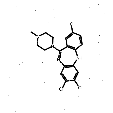 CN1CCN(C2=Nc3cc(Cl)c(Cl)cc3Nc3ccc(Cl)cc32)CC1